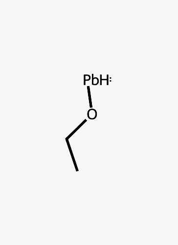 CC[O][PbH]